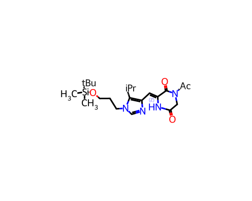 CC(=O)N1CC(=O)N/C(=C\c2ncn(CCCO[Si](C)(C)C(C)(C)C)c2C(C)C)C1=O